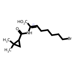 CC1(C)CC1C(=O)N/C(=C\CCCCCBr)C(=O)O